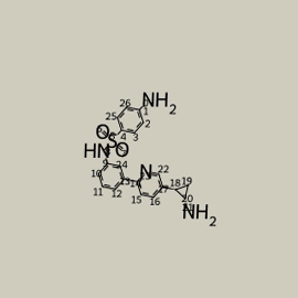 Nc1ccc(S(=O)(=O)Nc2cccc(-c3ccc([C@H]4C[C@@H]4N)cn3)c2)cc1